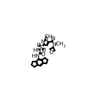 CN(C(=O)c1cc(S(=O)(=O)NC(=O)Nc2c3c(cc4c2CCC4)CCC3)nn1C)C1COC1